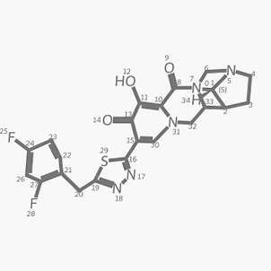 C[C@H]1C2CCN1CN1C(=O)c3c(O)c(=O)c(-c4nnc(Cc5ccc(F)cc5F)s4)cn3CC21